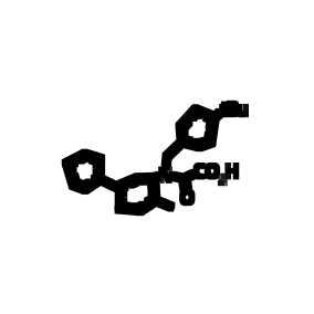 Cc1ccc(-c2ccccc2)cc1N(Cc1ccc(C(C)(C)C)cc1)C(=O)C(=O)O